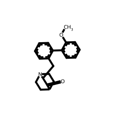 COc1ccccc1-c1ccccc1CC1C(=O)C2CCN1CC2